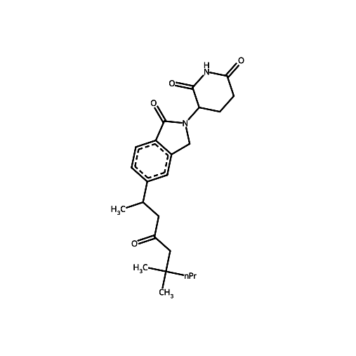 CCCC(C)(C)CC(=O)CC(C)c1ccc2c(c1)CN(C1CCC(=O)NC1=O)C2=O